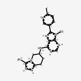 CCn1c(-c2ccc(C)nc2)nc2c(NC3CCc4nnc(C(C)C)n4C3)ncnc21